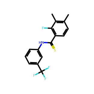 Cc1ccc(C(=S)Nc2cccc(C(F)(F)F)c2)c(F)c1C